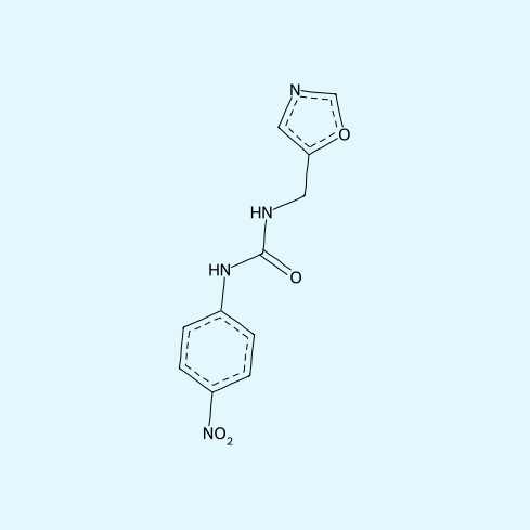 O=C(NCc1cnco1)Nc1ccc([N+](=O)[O-])cc1